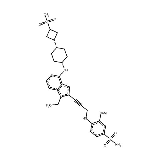 COc1cc(S(N)(=O)=O)ccc1NCC#Cc1cc2c(N[C@H]3CC[C@@H](N4CC(S(C)(=O)=O)C4)CC3)cccc2n1CC(F)(F)F